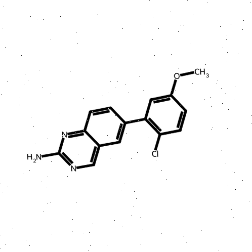 COc1ccc(Cl)c(-c2ccc3nc(N)ncc3c2)c1